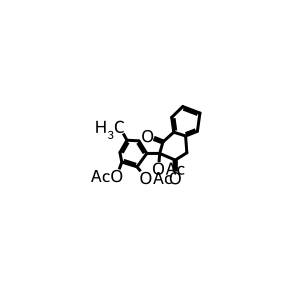 CC(=O)Oc1cc(C)cc(C2(OC(C)=O)C(=O)Cc3ccccc3C2=O)c1OC(C)=O